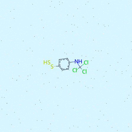 SSc1ccc(NC(Cl)(Cl)Cl)cc1